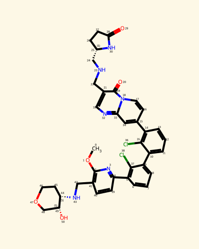 COc1nc(-c2cccc(-c3cccc(-c4ccn5c(=O)c(CNC[C@@H]6CCC(=O)N6)cnc5c4)c3Cl)c2Cl)ccc1CN[C@H]1CCOC[C@H]1O